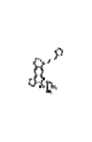 BC(C)(C)Nc1nc2cc(OCCCN3CCCC3)c(OC)cc2c2c1CCC2